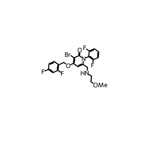 COCCNCc1cc(OCc2ccc(F)cc2F)c(Br)c(=O)n1-c1c(F)cccc1F